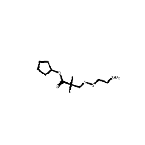 CC(=O)NCCSSCC(C)(C)C(=O)OC1CCCC1